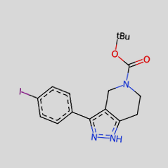 CC(C)(C)OC(=O)N1CCc2[nH]nc(-c3ccc(I)cc3)c2C1